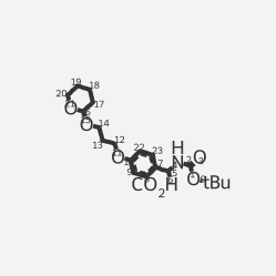 CC(C)(C)OC(=O)NC(C(=O)O)c1ccc(OCCCOC2CCCCO2)cc1